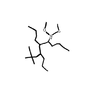 CCCC(C(CCC)[SiH](OC)OC)C(CCC)C(C)(C)C